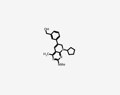 CNc1nc(C)c2c(n1)N(C1CCCC1)CC(c1cccc(CO)c1)=C2